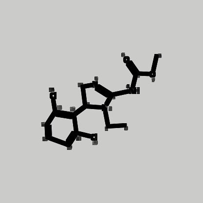 CCN1C(NC(=O)OC)=NCC1c1c(Cl)cccc1Cl